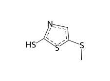 CSc1cnc(S)s1